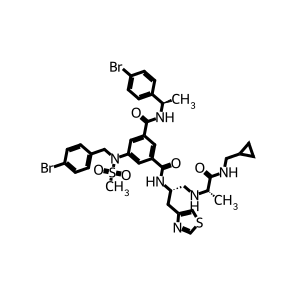 C[C@H](NC[C@H](Cc1cscn1)NC(=O)c1cc(C(=O)N[C@H](C)c2ccc(Br)cc2)cc(N(Cc2ccc(Br)cc2)S(C)(=O)=O)c1)C(=O)NCC1CC1